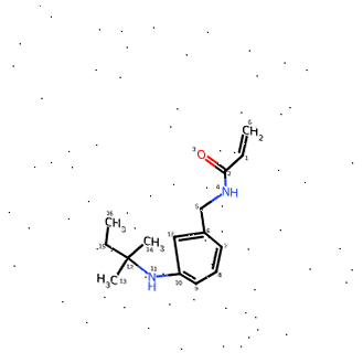 C=CC(=O)NCc1cccc(NC(C)(C)CC)c1